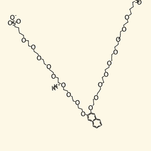 O=S(=O)([O-])CCCCOCCOCCOCCOCCOCCOCCOCCOCCOc1cc2ccccc2cc1OCCOCCOCCOCCOCCOCCOCCOCCOCCCCS(=O)(=O)[O-].[K+].[K+]